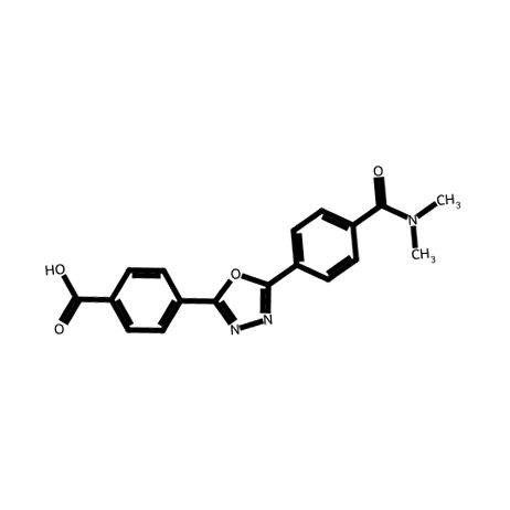 CN(C)C(=O)c1ccc(-c2nnc(-c3ccc(C(=O)O)cc3)o2)cc1